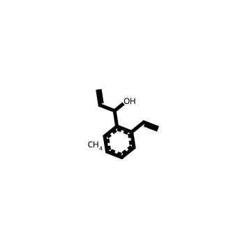 C.C=Cc1ccccc1C(O)C=C